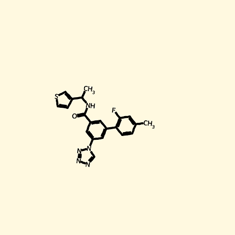 Cc1ccc(-c2cc(C(=O)NC(C)c3ccsc3)cc(-n3cnnn3)c2)c(F)c1